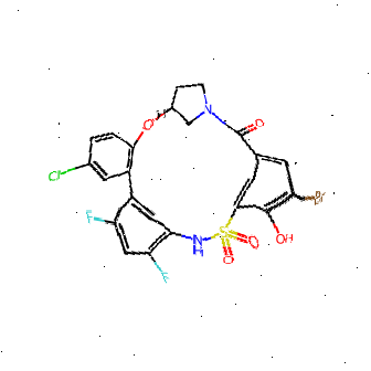 O=C1c2cc(Br)c(O)c(c2)S(=O)(=O)Nc2cc(c(F)cc2F)-c2cc(Cl)ccc2O[C@H]2CCN1C2